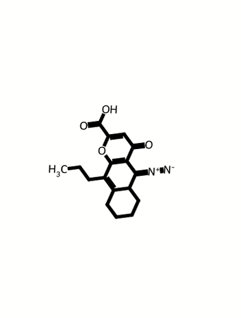 CCCC1=C2CCCCC2C(=[N+]=[N-])c2c1oc(C(=O)O)cc2=O